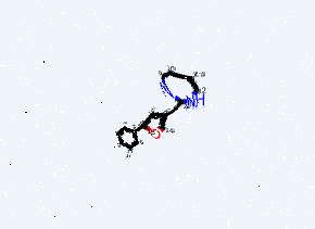 c1ccc(-c2cc(C3=NCCCCN3)co2)cc1